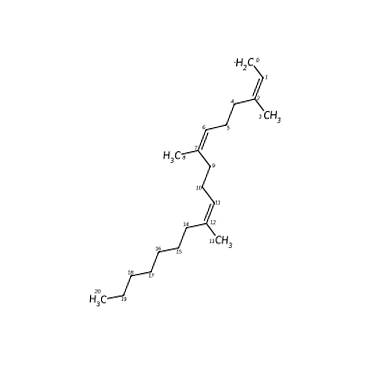 [CH2]C=C(C)CCC=C(C)CCC=C(C)CCCCCCC